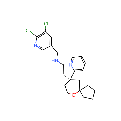 Clc1cc(CNCC[C@@]2(c3ccccn3)CCOC3(CCCC3)C2)cnc1Cl